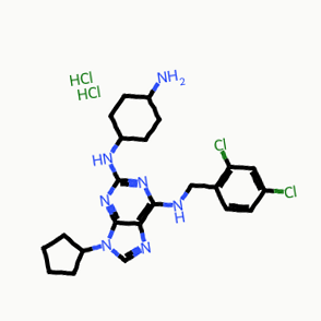 Cl.Cl.NC1CCC(Nc2nc(NCc3ccc(Cl)cc3Cl)c3ncn(C4CCCC4)c3n2)CC1